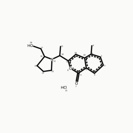 Cc1cccc2c(=O)oc(C(C)N3CCCC3CO)cc12.Cl